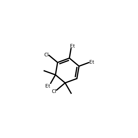 CCC1=CC(C)(Cl)C(C)(CC)C(Cl)=C1CC